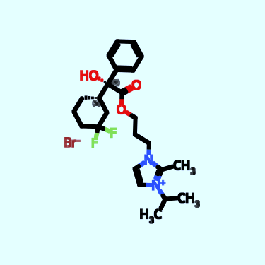 Cc1n(CCCOC(=O)[C@](O)(c2ccccc2)[C@H]2CCCC(F)(F)C2)cc[n+]1C(C)C.[Br-]